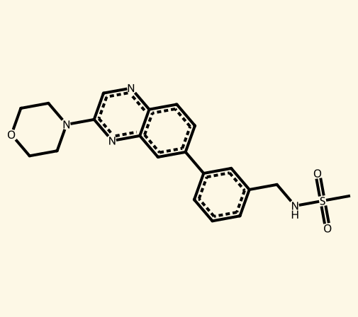 CS(=O)(=O)NCc1cccc(-c2ccc3ncc(N4CCOCC4)nc3c2)c1